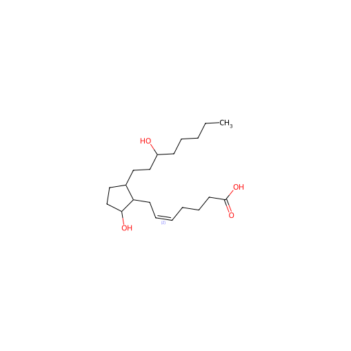 CCCCCC(O)CCC1CCC(O)C1C/C=C\CCCC(=O)O